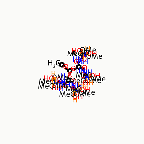 CO[PH](O)(CN(CC(=O)NNC(=O)c1cc(COc2cc(COc3ccc(C)cc3)cc(OCc3cc(C(=O)NNC(=O)CN(C[PH](O)(OC)OC)C[PH](O)(OC)OC)cc(C(=O)NNC(=O)CN(C[PH](O)(OC)OC)C[PH](O)(OC)OC)c3)c2)cc(C(=O)NNC(=O)CN(C[PH](O)(OC)OC)C[PH](O)(OC)OC)c1)C[PH](O)(OC)OC)OC